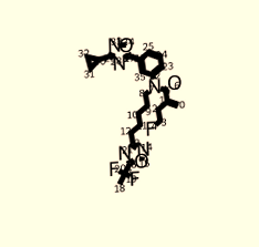 C=C(CCF)C(=O)N(CCCCCc1noc(C(C)(F)F)n1)c1cccc(-c2nc(C3CC3)no2)c1